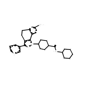 CC(=O)Nc1nc2c(s1)-c1c(c(-c3cccnc3)nn1C1CCC(C(=O)NC3CCCCC3)CC1)CC2